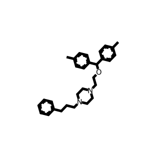 Cc1ccc(C(OCCN2CCN(CCCc3ccccc3)CC2)c2ccc(C)cc2)cc1